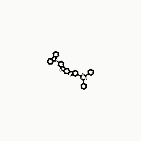 c1ccc(-c2nc(-c3ccccc3)nc(-c3ccc4c(c3)oc3cc5oc6cc(-n7c8ccccc8c8ccccc87)ccc6c5cc34)n2)cc1